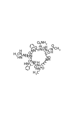 CCNC(=O)C1CCCNC(=O)CCC(NC(=O)CNC(C)=O)C(=O)N[C@@H](CCC(N)=O)C(=O)NC(Cc2ccccc2)C(=O)N[C@@H](CCCNC(=N)NC)C(=O)N[C@@H](Cc2c[nH]c3ccccc23)C(=O)N1